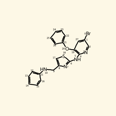 Brc1cnc(Nc2nc(CNc3ccccc3)cs2)c(Oc2ccccc2)c1